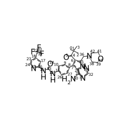 CC(C)(C)C(=O)c1c(-c2ccc(NC(=O)Nc3cc(C(F)(F)F)ccn3)cc2)c2c(N)ncnn2c1CN1CCOCC1